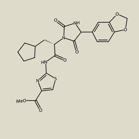 COC(=O)c1csc(NC(=O)[C@H](CC2CCCC2)N2C(=O)NC(c3ccc4c(c3)OCO4)C2=O)n1